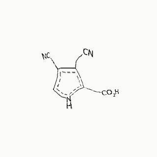 N#Cc1c[nH]c(C(=O)O)c1C#N